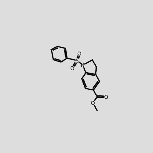 COC(=O)c1ccc2c(c1)CCN2S(=O)(=O)c1ccccc1